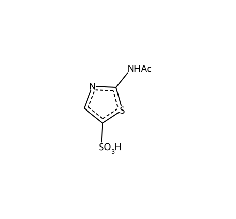 CC(=O)Nc1ncc(S(=O)(=O)O)s1